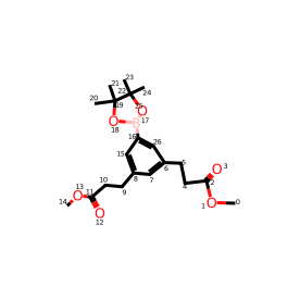 COC(=O)CCc1cc(CCC(=O)OC)cc(B2OC(C)(C)C(C)(C)O2)c1